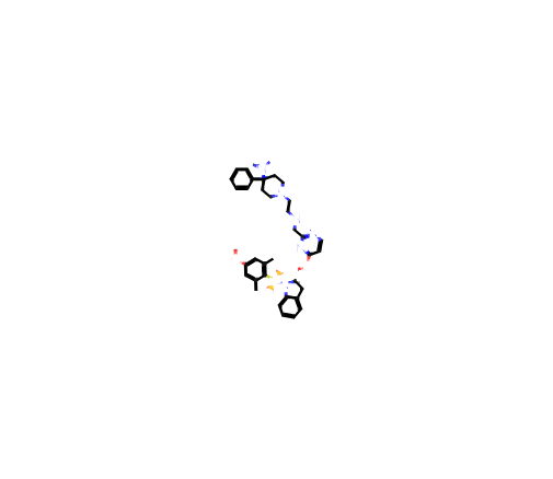 COc1cc(C)c(S(=O)(=O)N2c3ccccc3C[C@H]2COc2ccnc(CNCCN3CCC(c4ccccc4)(N(C)C)CC3)n2)c(C)c1